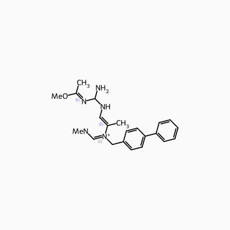 CN/C=[N+](Cc1ccc(-c2ccccc2)cc1)\C(C)=C\NC(N)/N=C(\C)OC